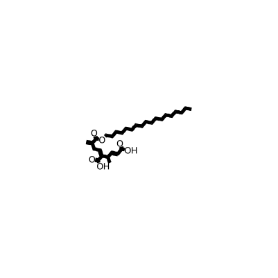 C=C(CC=C(C(=O)O)C(C)C=CC(=O)O)C(=O)OCCCCCCCCCCCCCCCCCC